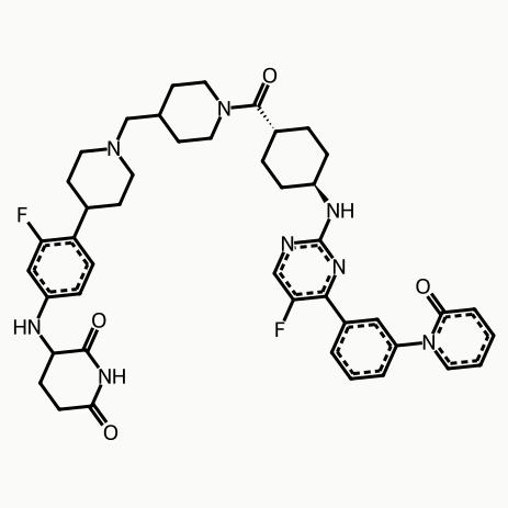 O=C1CCC(Nc2ccc(C3CCN(CC4CCN(C(=O)[C@H]5CC[C@H](Nc6ncc(F)c(-c7cccc(-n8ccccc8=O)c7)n6)CC5)CC4)CC3)c(F)c2)C(=O)N1